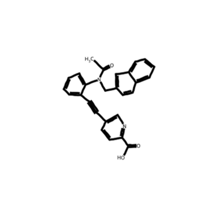 CC(=O)N(Cc1ccc2ccccc2c1)c1ccccc1C#Cc1ccc(C(=O)O)nc1